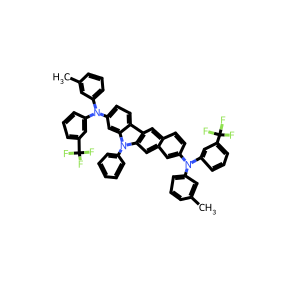 Cc1cccc(N(c2cccc(C(F)(F)F)c2)c2ccc3cc4c5ccc(N(c6cccc(C)c6)c6cccc(C(F)(F)F)c6)cc5n(-c5ccccc5)c4cc3c2)c1